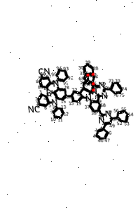 N#Cc1ccc2c(c1)N(c1ccccc1)c1cc(-c3ccc4c(c3)c3cc(-c5ccccc5)ccc3n4-c3ccc(-c4nc(-c5ccccc5)cc(-c5ccccc5)n4)cc3-c3nc(-c4ccccc4)nc(-c4ccccc4)n3)cc3c1B2c1ccc(C#N)cc1N3c1ccccc1